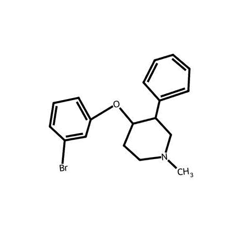 CN1CCC(Oc2cccc(Br)c2)C(c2ccccc2)C1